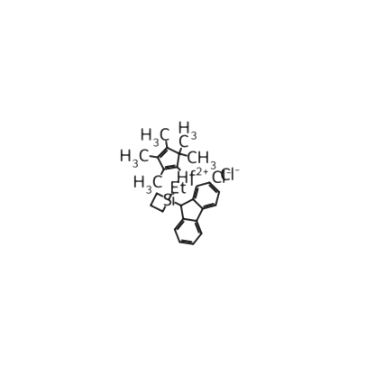 CC[Si]1(C2c3ccccc3-c3ccc[c]([Hf+2][C]4=C(C)C(C)=C(C)C4(C)C)c32)CCC1.[Cl-].[Cl-]